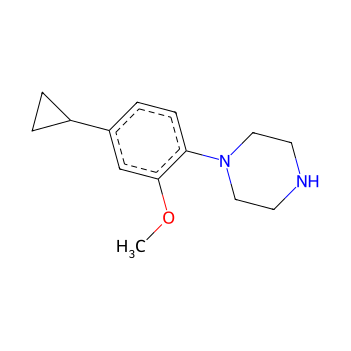 COc1cc(C2CC2)ccc1N1CCNCC1